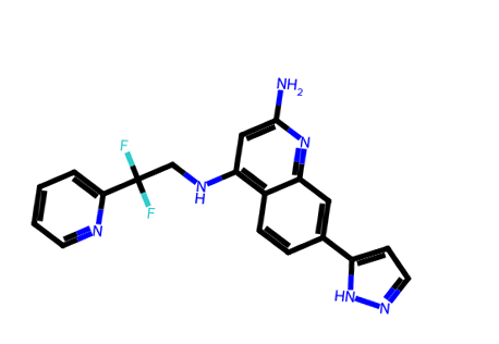 Nc1cc(NCC(F)(F)c2ccccn2)c2ccc(-c3ccn[nH]3)cc2n1